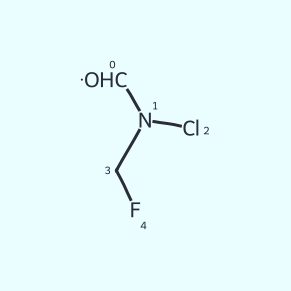 O=[C]N(Cl)CF